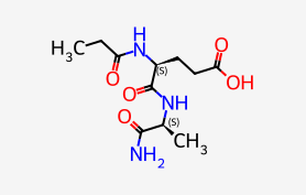 CCC(=O)N[C@@H](CCC(=O)O)C(=O)N[C@@H](C)C(N)=O